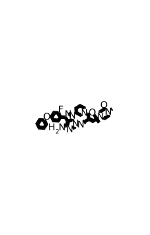 CN1CCN(C(C)(C)/C=C(/C#N)C(=O)N2CCC[C@@H](n3nc(-c4ccc(Oc5ccccc5)cc4F)c4c(N)ncnc43)C2)CC1=O